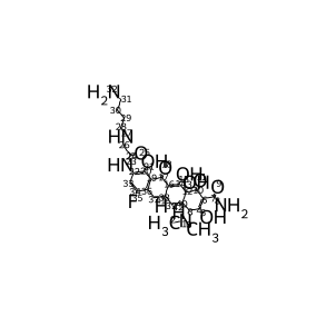 CN(C)[C@@H]1C(O)=C(C(N)=O)C(=O)[C@@]2(O)C(O)=C3C(=O)c4c(O)c(NC(=O)CNCCCCN)cc(F)c4C[C@H]3C[C@@H]12